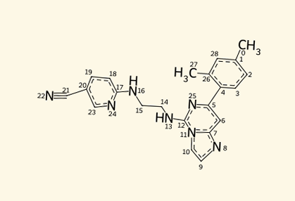 Cc1ccc(-c2cc3nccn3c(NCCNc3ccc(C#N)cn3)n2)c(C)c1